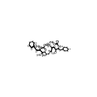 CC(C)C(CSCC(CC(O)C(CC1CCCCC1)NC(=O)OC(C)(C)C)C(C)C)CC(O)C(CC1CCCCC1)NC(=O)OC(C)(C)C